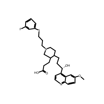 COc1ccc2nccc([C@@H](O)CCC3CCN(CCCSc4cccc(F)c4)CC3CCC(=O)O)c2c1